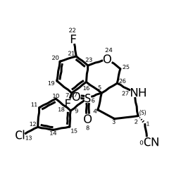 N#CC[C@@H]1CCC2(S(=O)(=O)c3ccc(Cl)cc3)c3c(F)ccc(F)c3OCC2N1